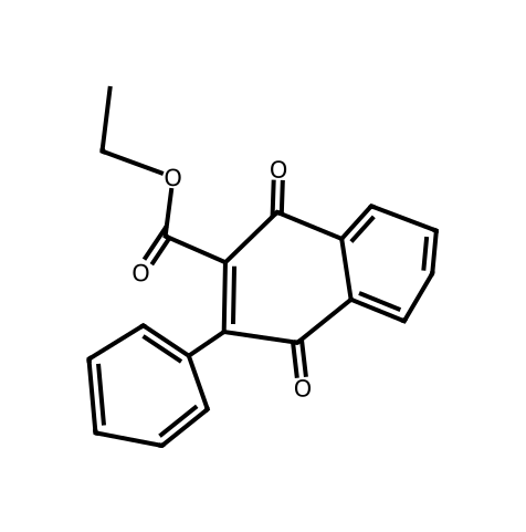 CCOC(=O)C1=C(c2ccccc2)C(=O)c2ccccc2C1=O